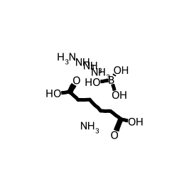 N.N.N.N.N.O=C(O)CCCCC(=O)O.OB(O)O